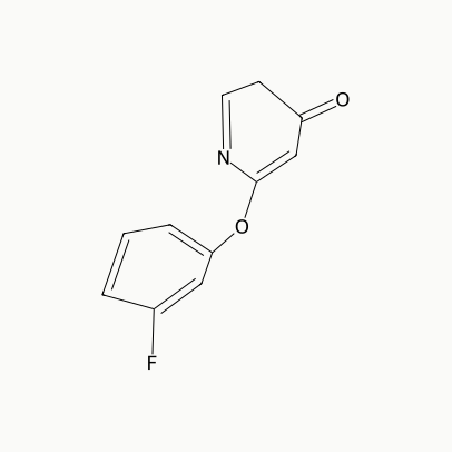 O=C1C=C(Oc2cccc(F)c2)N=CC1